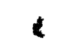 Cc1cc(C(=O)N2CC(=O)[C@@H]3[C@H]2CCN3C(=O)[C@H](CC(C)C)NC(=O)c2ccc(N(C)C)cc2)ccc1F